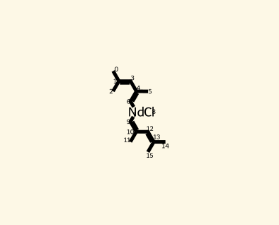 CC(C)=CC(C)=[CH][Nd]([Cl])[CH]=C(C)C=C(C)C